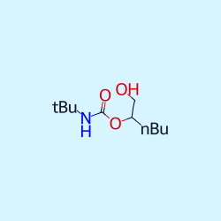 CCCCC(CO)OC(=O)NC(C)(C)C